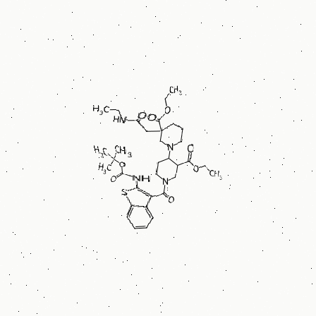 CCNC(=O)CC1(C(=O)OCC)CCCN(C2CCN(C(=O)c3c(NC(=O)OC(C)(C)C)sc4ccccc34)CC2C(=O)OCC)C1